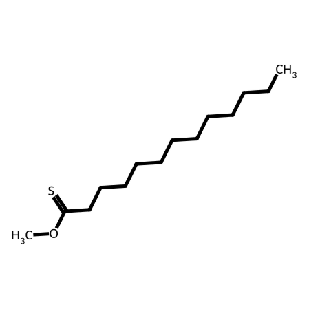 CCCCCCCCCCCCC(=S)OC